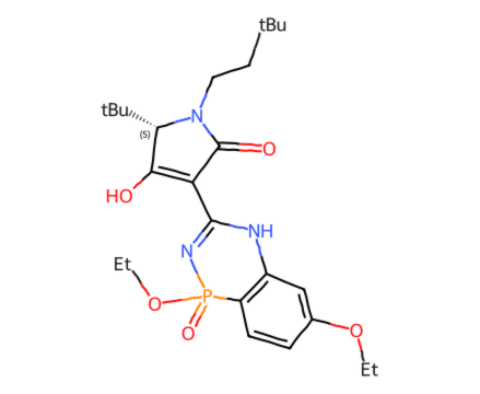 CCOc1ccc2c(c1)NC(C1=C(O)[C@H](C(C)(C)C)N(CCC(C)(C)C)C1=O)=NP2(=O)OCC